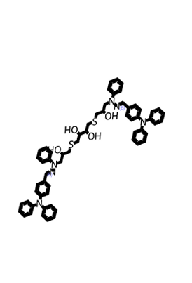 OC(CSCC(O)C(O)CSCC(O)CN(/N=C/c1ccc(N(c2ccccc2)c2ccccc2)cc1)c1ccccc1)CN(/N=C/c1ccc(N(c2ccccc2)c2ccccc2)cc1)c1ccccc1